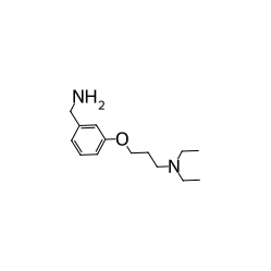 CCN(CC)CCCOc1cccc(CN)c1